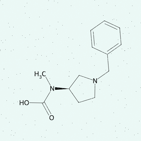 CN(C(=O)O)[C@@H]1CCN(Cc2ccccc2)C1